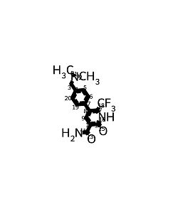 CN(C)Cc1ccc(-c2cc(C(N)=O)c(=O)[nH]c2C(F)(F)F)cc1